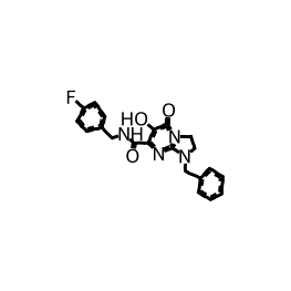 O=C(NCc1ccc(F)cc1)c1nc2n(c(=O)c1O)CCN2Cc1ccccc1